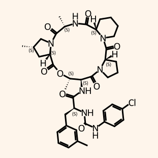 Cc1cccc(C[C@H](NC(=O)Nc2ccc(Cl)cc2)C(=O)N[C@@H]2C(=O)N3CCC[C@H]3C(=O)N3CCCC[C@H]3C(=O)N[C@@H](C)C(=O)N3C[C@@H](C)C[C@H]3C(=O)O[C@H]2C)c1